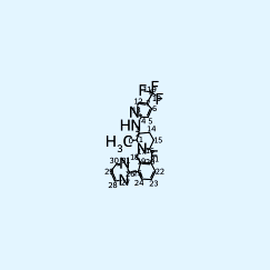 C[C@H]1[C@H](Nc2ccc(C(F)(F)F)cn2)CCCN1Cc1c(F)cccc1-c1ncccn1